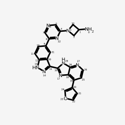 NC1CN(c2cncc(-c3ccc4[nH]nc(-c5nc6c(-c7ccoc7)ccnc6[nH]5)c4c3)n2)C1